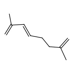 C=C(C)/C=C/CCC(=C)C